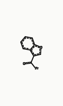 CC(C)C(=O)c1coc2ccccc12